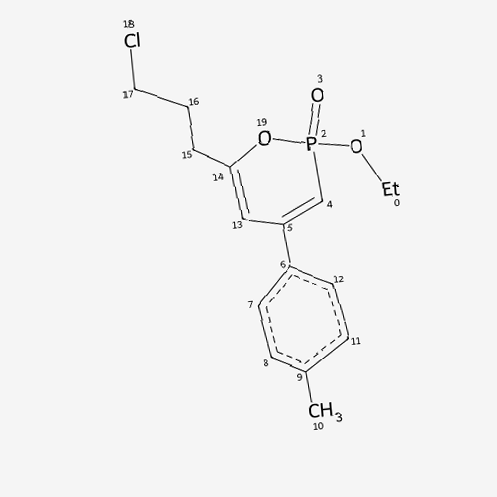 CCOP1(=O)C=C(c2ccc(C)cc2)C=C(CCCCl)O1